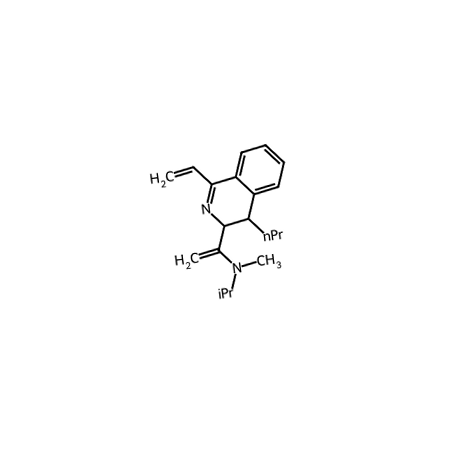 C=CC1=NC(C(=C)N(C)C(C)C)C(CCC)c2ccccc21